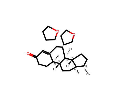 C1CCOC1.C1CCOC1.CC(=O)[C@H]1CC[C@H]2[C@@H]3CCC4=CC(=O)CC[C@]4(C)[C@H]3CC[C@]12C